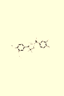 COc1ccc(C2=NN(C(=O)c3ccc(Br)c(F)c3)CC2(C)C)cc1OC